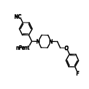 CCCCCC(c1ccc(C#N)cc1)N1CCN(CCOc2ccc(F)cc2)CC1